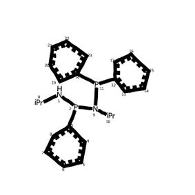 CC(C)NP(c1ccccc1)N(C(C)C)P(c1ccccc1)c1ccccc1